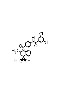 CC1CC(N(C)C)c2ccccc2N1C(=O)c1ccc(NC(=O)c2cc(Cl)cc(Cl)c2)cc1